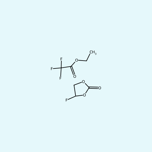 CCOC(=O)C(F)(F)F.O=C1OCC(F)O1